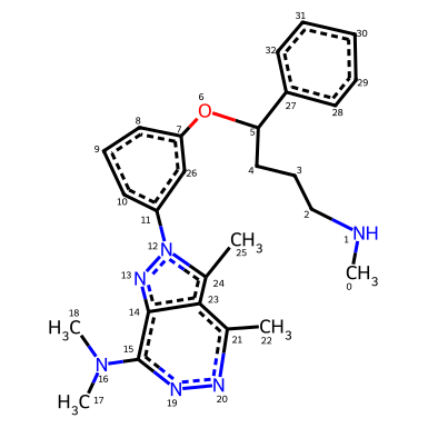 CNCCCC(Oc1cccc(-n2nc3c(N(C)C)nnc(C)c3c2C)c1)c1ccccc1